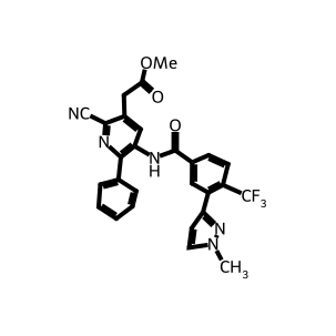 COC(=O)Cc1cc(NC(=O)c2ccc(C(F)(F)F)c(-c3ccn(C)n3)c2)c(-c2ccccc2)nc1C#N